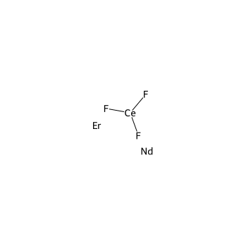 [Er].[F][Ce]([F])[F].[Nd]